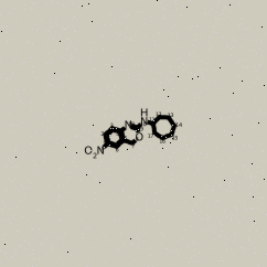 O=[N+]([O-])c1ccc2c(c1)COC(NC1CCCCCC1)=N2